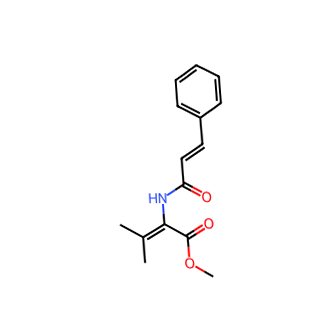 COC(=O)C(NC(=O)C=Cc1ccccc1)=C(C)C